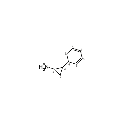 NC1CC1C1C=CC=CC1